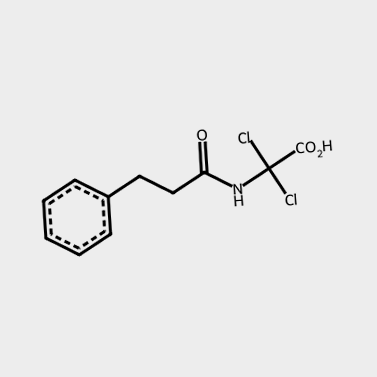 O=C(CCc1ccccc1)NC(Cl)(Cl)C(=O)O